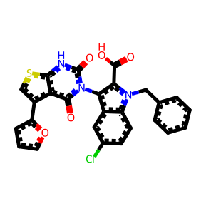 O=C(O)c1c(-n2c(=O)[nH]c3scc(-c4ccco4)c3c2=O)c2cc(Cl)ccc2n1Cc1ccccc1